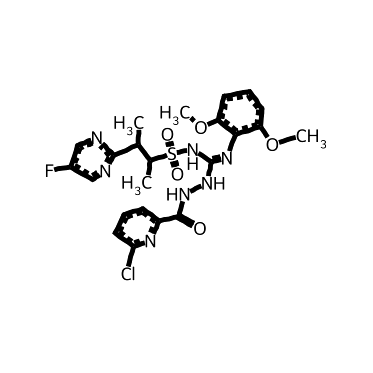 COc1cccc(OC)c1/N=C(/NNC(=O)c1cccc(Cl)n1)NS(=O)(=O)C(C)C(C)c1ncc(F)cn1